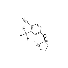 C[C@H]1CCC[C@@H]1Oc1ccc(C#N)c(C(F)(F)F)c1